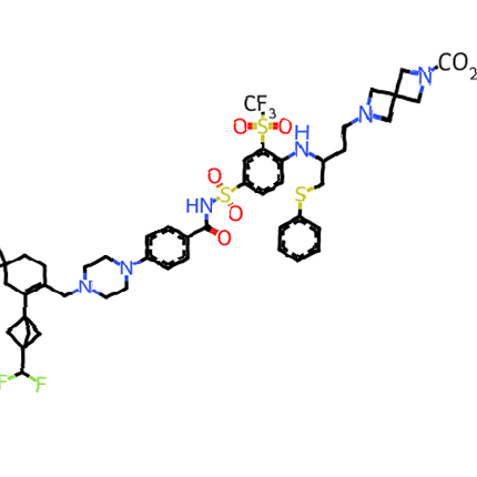 CC1(C)CCC(CN2CCN(c3ccc(C(=O)NS(=O)(=O)c4ccc(NC(CCN5CC6(C5)CN(C(=O)O)C6)CSc5ccccc5)c(S(=O)(=O)C(F)(F)F)c4)cc3)CC2)=C(C23CC(C(F)F)(C2)C3)C1